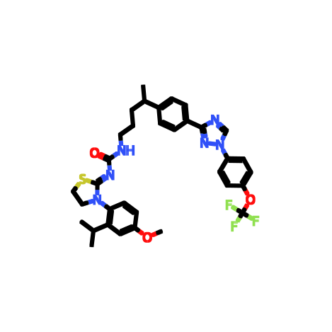 COc1ccc(N2CCS/C2=N\C(=O)NCCCC(C)c2ccc(-c3ncn(-c4ccc(OC(F)(F)F)cc4)n3)cc2)c(C(C)C)c1